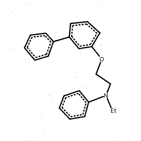 CCN(CCOc1cccc(-c2ccccc2)c1)c1ccccc1